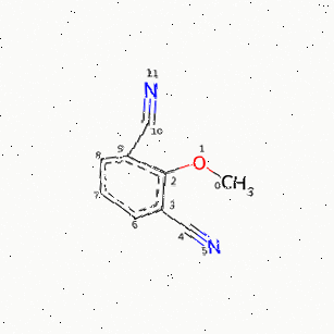 COc1c(C#N)cccc1C#N